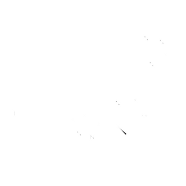 C[C@H]1c2nn(C)c(-c3cc(F)c(F)c(F)c3)c2CCN1C(=O)c1ccc2nncn2c1